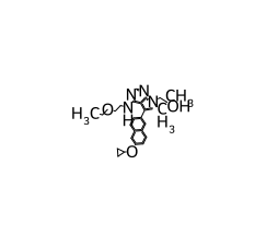 CCOCCNc1ncnc2c1c(-c1ccc3cc(OC4CC4)ccc3c1)cn2CC(C)(C)O